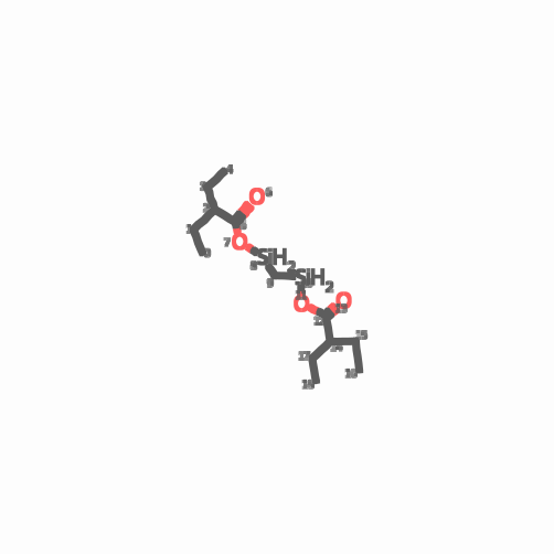 CCC(CC)C(=O)O[SiH2]C[SiH2]OC(=O)C(CC)CC